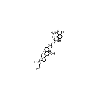 CC(C)CCC[C@](C)(O)C1CCC2C3C[C@H](O)[C@H]4C[C@@H](OC(=O)CCC(=O)Nc5ccc(O)c(C(N)=O)c5O)CC[C@]4(C)C3CC[C@@]21C